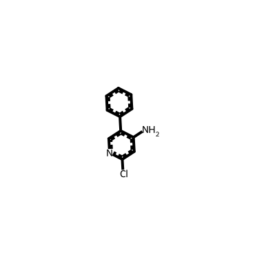 Nc1cc(Cl)ncc1-c1ccccc1